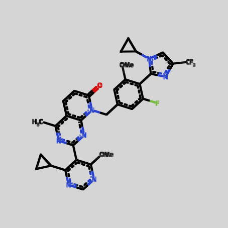 COc1cc(Cn2c(=O)ccc3c(C)nc(-c4c(OC)ncnc4C4CC4)nc32)cc(F)c1-c1nc(C(F)(F)F)cn1C1CC1